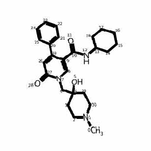 CN1CCC(O)(Cn2cc(C(=O)NC3CCCCC3)c(-c3ccccc3)cc2=O)CC1